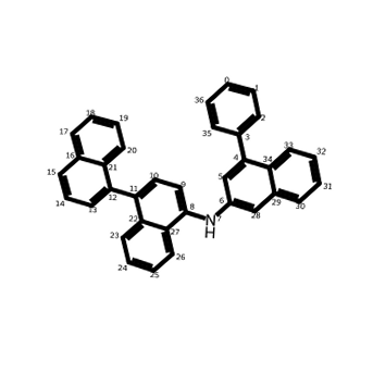 c1ccc(-c2cc(Nc3ccc(-c4cccc5ccccc45)c4ccccc34)cc3ccccc23)cc1